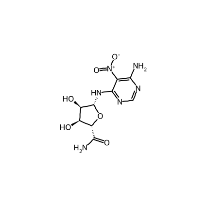 NC(=O)[C@H]1O[C@@H](Nc2ncnc(N)c2[N+](=O)[O-])[C@H](O)[C@@H]1O